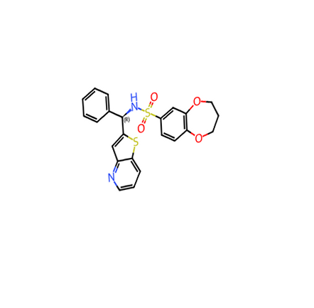 O=S(=O)(N[C@H](c1ccccc1)c1cc2ncccc2s1)c1ccc2c(c1)OCCCO2